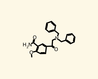 COc1ccc(C(=O)CN(Cc2ccccc2)Cc2ccccc2)cc1C(N)=O